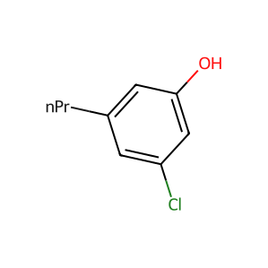 C[CH]Cc1cc(O)cc(Cl)c1